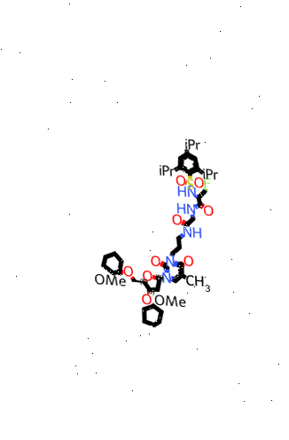 COC1(OC[C@H]2O[C@@H](n3cc(C)c(=O)n(CCCNC(=O)CNC(=O)C(CF)NS(=O)(=O)c4c(C(C)C)cc(C(C)C)cc4C(C)C)c3=O)C[C@@H]2OC2(OC)CCCCC2)CCCCC1